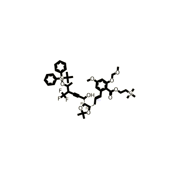 COCOc1cc(OC)cc(/C=C/C[C@@H]2OC(C)(C)O[C@@H]2C(O)C#CC(C(C)O[Si](c2ccccc2)(c2ccccc2)C(C)(C)C)C(F)(F)F)c1C(=O)OCC[Si](C)(C)C